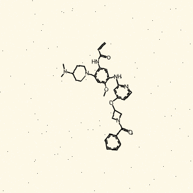 C=CC(=O)Nc1cc(Nc2cc(OC3CN(C(=O)c4ccccc4)C3)ccn2)c(OC)cc1N1CCC(N(C)C)CC1